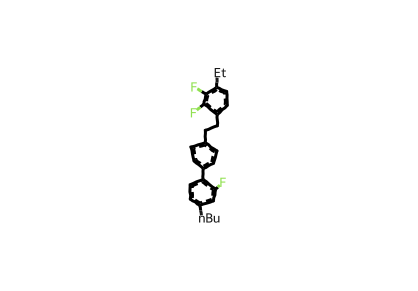 CCCCc1ccc(-c2ccc(CCc3ccc(CC)c(F)c3F)cc2)c(F)c1